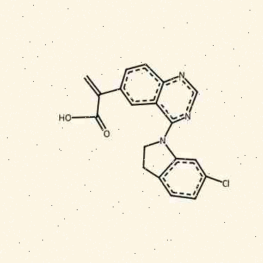 C=C(C(=O)O)c1ccc2ncnc(N3CCc4ccc(Cl)cc43)c2c1